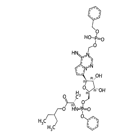 CCC(CC)COC(=O)[C@H](C)N[P@](=O)(OC[C@H]1O[C@@H](c2ccc3c(=N)n(COP(=O)(O)OCc4ccccc4)cnn23)[C@H](O)[C@@H]1O)Oc1ccccc1